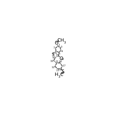 COc1ccc2c(c1)S/C(=C/c1ccc(SC)cc1)C2=O